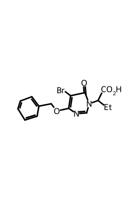 CCC(C(=O)O)n1cnc(OCc2ccccc2)c(Br)c1=O